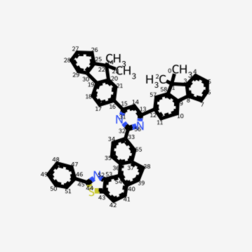 CC1(C)c2ccccc2-c2ccc(-c3cc(-c4ccc5c(c4)C(C)(C)c4ccccc4-5)nc(-c4ccc5c(ccc6ccc7sc(-c8ccccc8)nc7c65)c4)n3)cc21